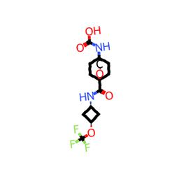 O=C(O)NC12CCC(C(=O)N[C@H]3C[C@@H](OC(F)(F)F)C3)(CC1)OC2